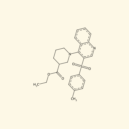 CCOC(=O)C1CCCN(c2c(S(=O)(=O)c3ccc(C)cc3)cnc3ccccc23)C1